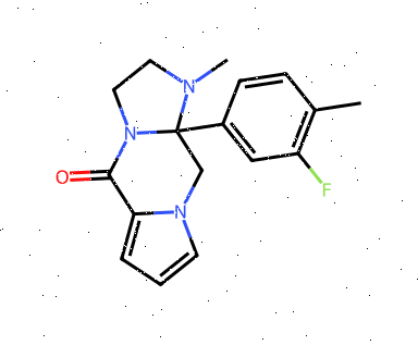 Cc1ccc(C23Cn4cccc4C(=O)N2CCN3C)cc1F